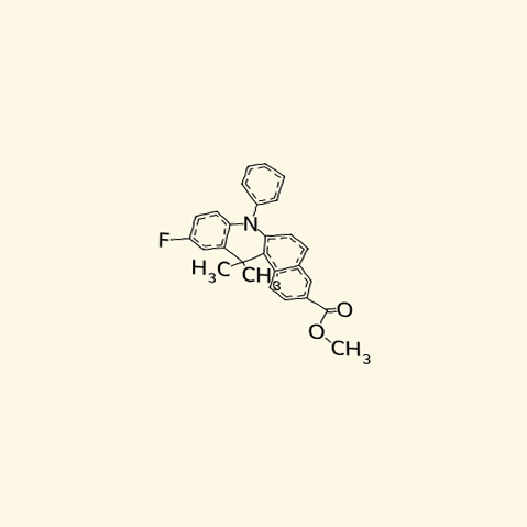 COC(=O)c1ccc2c3c(ccc2c1)N(c1ccccc1)c1ccc(F)cc1C3(C)C